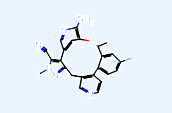 CC1Oc2cc(cnc2N)-c2c(nn(C)c2C#N)Cc2cnccc2-c2ccc(F)cc21